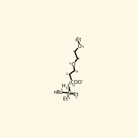 CCCC[N+](C)(CC)CC.CCOCCOCCC(=O)[O-]